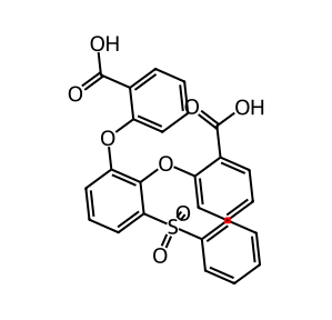 O=C(O)c1ccccc1Oc1cccc(S(=O)(=O)c2ccccc2)c1Oc1ccccc1C(=O)O